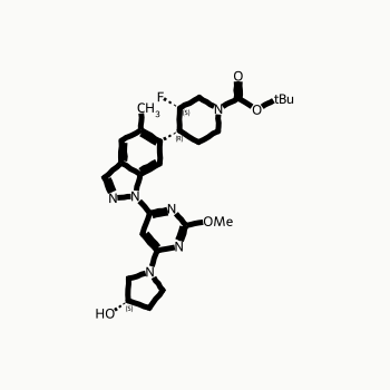 COc1nc(N2CC[C@H](O)C2)cc(-n2ncc3cc(C)c([C@H]4CCN(C(=O)OC(C)(C)C)C[C@H]4F)cc32)n1